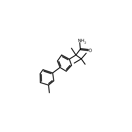 Cc1cccc(-c2ccc(C(C)(C(N)=O)C(C)(C)C)cc2)c1